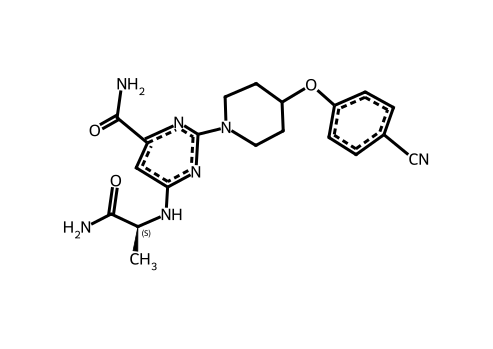 C[C@H](Nc1cc(C(N)=O)nc(N2CCC(Oc3ccc(C#N)cc3)CC2)n1)C(N)=O